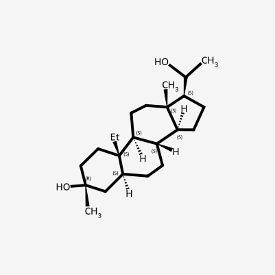 CC[C@]12CC[C@@](C)(O)C[C@@H]1CC[C@H]1[C@@H]3CC[C@H](C(C)O)[C@@]3(C)CC[C@@H]12